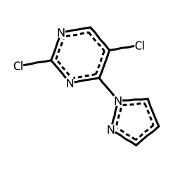 Clc1ncc(Cl)c(-n2cccn2)n1